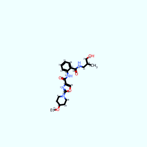 CCOC1CCN(c2nc(C(=O)Nc3ccccc3C(=O)NCC(C)CO)co2)CC1